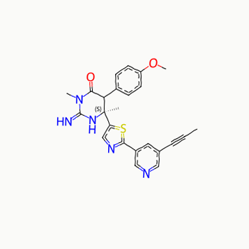 CC#Cc1cncc(-c2ncc([C@@]3(C)NC(=N)N(C)C(=O)C3c3ccc(OC)cc3)s2)c1